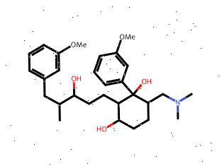 COc1cccc(CC(C)C(O)CCC2C(O)CCC(CN(C)C)C2(O)c2cccc(OC)c2)c1